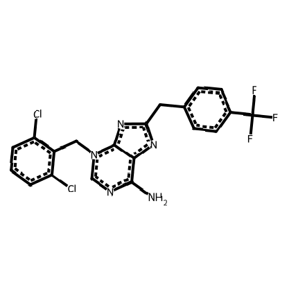 Nc1ncn(Cc2c(Cl)cccc2Cl)c2nc(Cc3ccc(C(F)(F)F)cc3)nc1-2